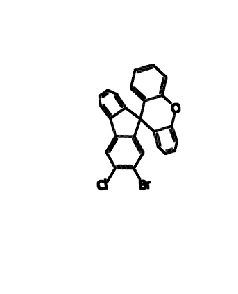 Clc1cc2c(cc1Br)C1(c3ccccc3Oc3ccccc31)c1ccccc1-2